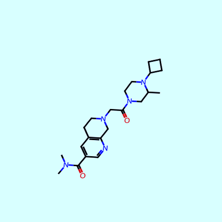 CC1CN(C(=O)CN2CCc3cc(C(=O)N(C)C)cnc3C2)CCN1C1CCC1